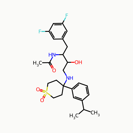 CC(=O)NC(Cc1cc(F)cc(F)c1)C(O)CNC1(c2cccc(C(C)C)c2)CCS(=O)(=O)CC1